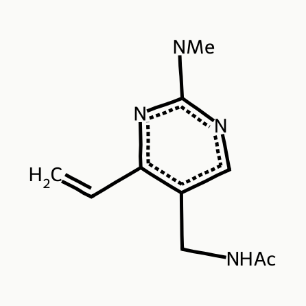 C=Cc1nc(NC)ncc1CNC(C)=O